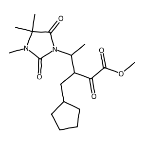 COC(=O)C(=O)C(CC1CCCC1)C(C)N1C(=O)N(C)C(C)(C)C1=O